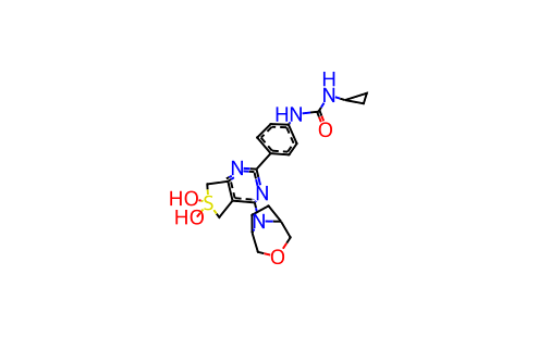 O=C(Nc1ccc(-c2nc3c(c(N4C5CCC4COC5)n2)CS(O)(O)C3)cc1)NC1CC1